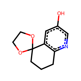 Oc1cnc2c(c1)C1(CCC2)OCCO1